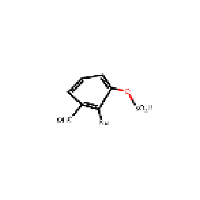 O=Cc1cccc(OS(=O)(=O)O)[c]1[Na]